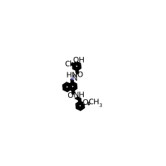 CCOc1ccccc1CCNC(=O)c1ccc(/C=N/NC(=O)c2ccc(O)c(Cl)c2)c2ccccc12